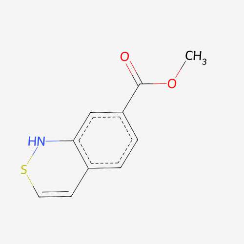 COC(=O)c1ccc2c(c1)NSC=C2